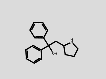 OC(CC1CCCN1)(c1ccccc1)c1ccccc1